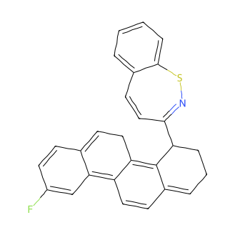 Fc1ccc2c(c1)=c1ccc3c(c1CC=2)C(C1=NSc2ccccc2C=C1)CCC=3